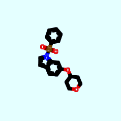 O=S(=O)(c1ccccc1)n1ccc2ccc(OC3CCOCC3)cc21